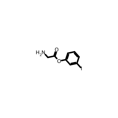 NCC(=O)Oc1cccc(I)c1